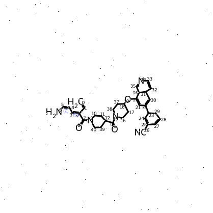 C=C/C(=C\C=C/N)C(=O)N1CCC(C(=O)N2CCC(OC3=CC(C4C=C(C#N)C=CC4)=CC4C=CN=CC34)CC2)CC1